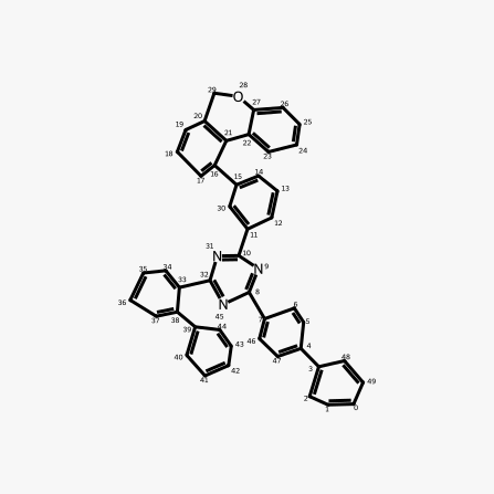 c1ccc(-c2ccc(-c3nc(-c4cccc(-c5cccc6c5-c5ccccc5OC6)c4)nc(-c4ccccc4-c4ccccc4)n3)cc2)cc1